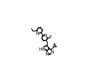 CCc1cc[c]c(-c2ccc(Cc3c[nH]c4ncnc(C5CC5)c34)c(F)n2)n1